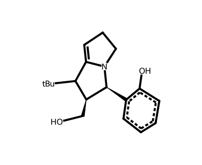 CC(C)(C)C1C2=CCCN2[C@@H](c2ccccc2O)[C@H]1CO